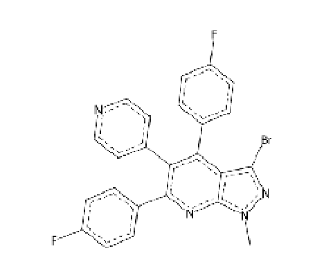 Cn1nc(Br)c2c(-c3ccc(F)cc3)c(-c3ccncc3)c(-c3ccc(F)cc3)nc21